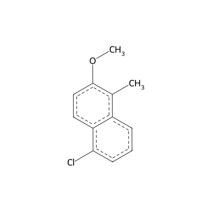 COc1ccc2c(Cl)cccc2c1C